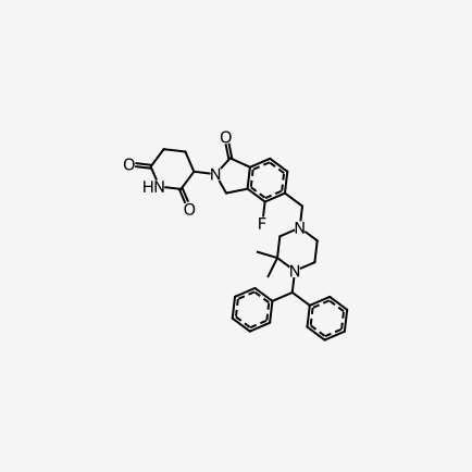 CC1(C)CN(Cc2ccc3c(c2F)CN(C2CCC(=O)NC2=O)C3=O)CCN1C(c1ccccc1)c1ccccc1